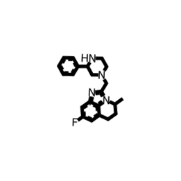 CC1CCc2cc(F)cc3nc(CN4CCNC(c5ccccc5)C4)n1c23